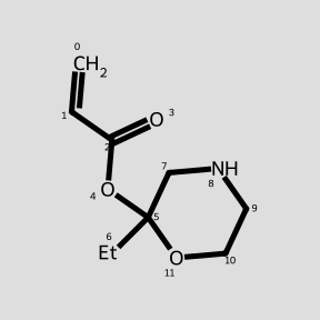 C=CC(=O)OC1(CC)CNCCO1